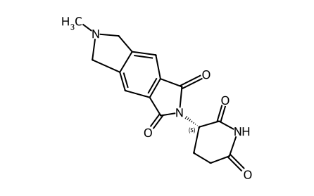 CN1Cc2cc3c(cc2C1)C(=O)N([C@H]1CCC(=O)NC1=O)C3=O